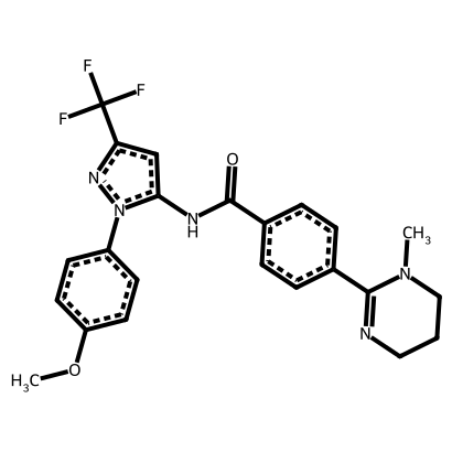 COc1ccc(-n2nc(C(F)(F)F)cc2NC(=O)c2ccc(C3=NCCCN3C)cc2)cc1